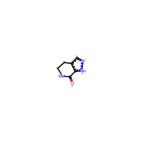 O=C1NCCc2cn[nH]c21